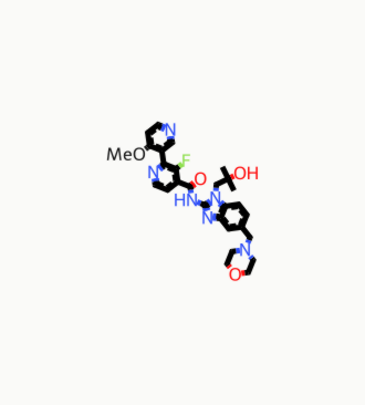 COc1ccncc1-c1nccc(C(=O)Nc2nc3cc(CN4CCOCC4)ccc3n2CC(C)(C)O)c1F